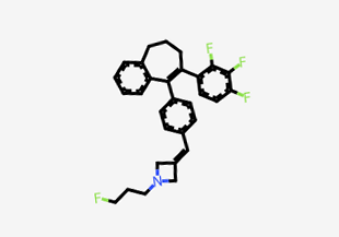 FCCCN1CC(=Cc2ccc(C3=C(c4ccc(F)c(F)c4F)CCCc4ccccc43)cc2)C1